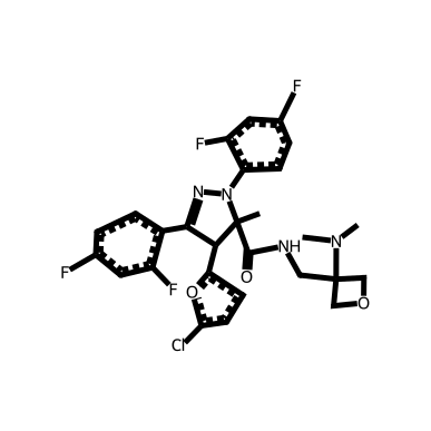 CN(C)C1(CNC(=O)C2(C)C(c3ccc(Cl)o3)C(c3ccc(F)cc3F)=NN2c2ccc(F)cc2F)COC1